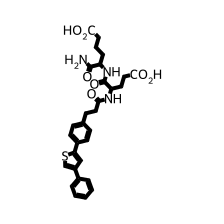 NC(=O)C(CCCC(=O)O)NC(=O)C(CCC(=O)O)NC(=O)CCc1ccc(-c2cc(-c3ccccc3)cs2)cc1